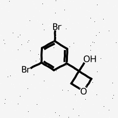 OC1(c2cc(Br)cc(Br)c2)COC1